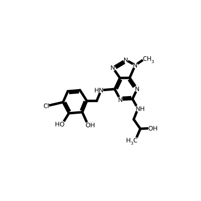 CC(O)CNc1nc(NCc2ccc(Cl)c(O)c2O)c2nnn(C)c2n1